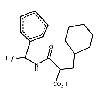 CC(NC(=O)C(CC1CCCCC1)C(=O)O)c1ccccc1